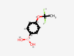 CC(F)(F)Oc1ccc(B(O)O)cc1